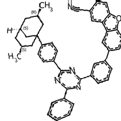 C[C@@H]1C[C@@H]2C[C@H](C)CC(c3ccc(-c4nc(-c5ccccc5)nc(-c5cccc(-c6ccc7oc8ccc(C#N)cc8c7c6)c5)n4)cc3)(C1)C2